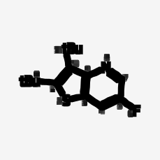 CC(C)(C)c1sc2cc(F)cnc2c1C(C)(C)C